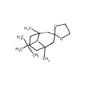 CC(C)(C)P1C2(C)CCCC1(C)CC1(C2)OCCO1